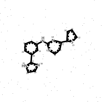 c1cc(Nc2nccc(-c3cccs3)n2)cc(-c2ncc[nH]2)c1